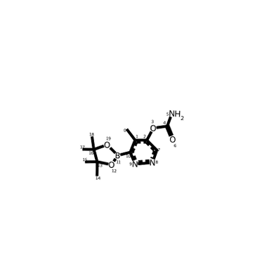 Cc1c(OC(N)=O)cnnc1B1OC(C)(C)C(C)(C)O1